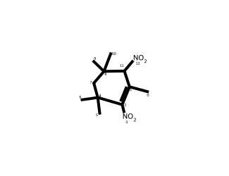 CC1=C([N+](=O)[O-])C(C)(C)CC(C)(C)C1[N+](=O)[O-]